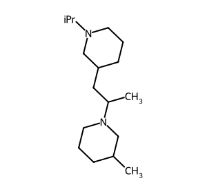 CC1CCCN(C(C)CC2CCCN(C(C)C)C2)C1